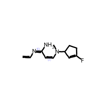 C=C/N=C(N)\C=C/N(C)C1C=C(F)CC1